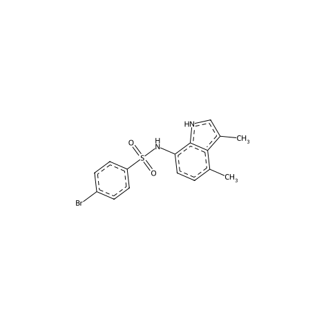 Cc1ccc(NS(=O)(=O)c2ccc(Br)cc2)c2[nH]cc(C)c12